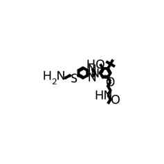 CC(=O)NCCOc1cc(-n2nc3ccc(SCCN)cc3n2)c(O)c(C(C)(C)C)c1